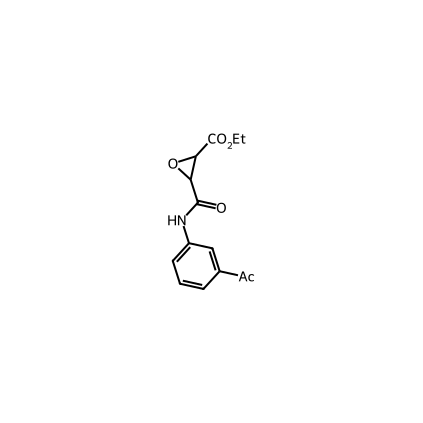 CCOC(=O)C1OC1C(=O)Nc1cccc(C(C)=O)c1